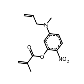 C=CCN(C)c1ccc([N+](=O)[O-])c(OC(=O)C(=C)C)c1